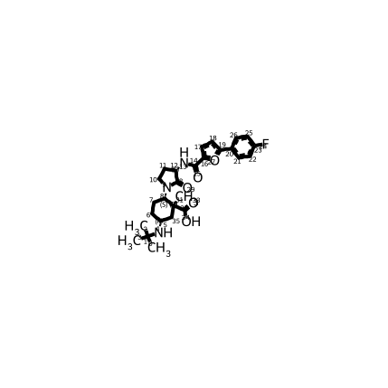 CC(C)(C)N[C@@H]1CC[C@H](N2CC[C@H](NC(=O)c3ccc(-c4ccc(F)cc4)o3)C2=O)[C@](C)(C(=O)O)C1